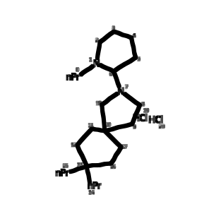 CCCN1CCCCC1N1CCC2(CCC(CCC)(CCC)CC2)C1.Cl.Cl